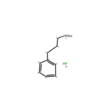 CCCCCCCCCc1ccccc1.F